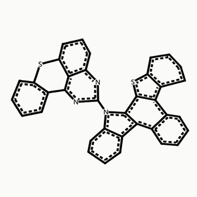 c1ccc2c(c1)Sc1cccc3nc(-n4c5ccccc5c5c6ccccc6c6c7ccccc7sc6c54)nc-2c13